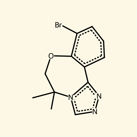 CC1(C)COc2c(Br)cccc2-c2nncn21